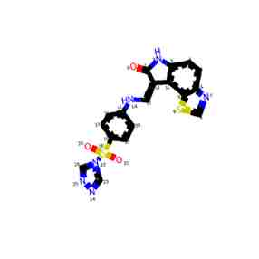 O=C1Nc2ccc3ncsc3c2/C1=C/Nc1ccc(S(=O)(=O)n2cnnc2)cc1